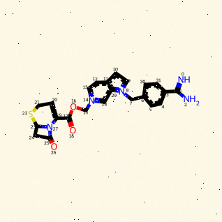 N=C(N)c1ccc(Cn2ccc3cc[n+](COC(=O)C4=CCSC5CC(=O)N45)cc32)cc1